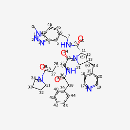 Cn1nnc2cc(CNC(=O)[C@@H]3C[C@@H](Cc4ccncc4)CN3C(=O)[C@@H](CCC(=O)N3CCCC3)NC(=O)Cc3ccccc3)ccc21